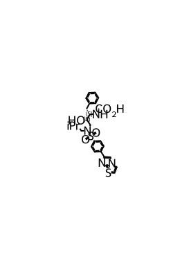 CC(C)CN(C[C@H](O)[C@H](Cc1ccccc1)NC(=O)O)S(=O)(=O)c1ccc(-c2cn3ccsc3n2)cc1